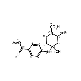 CCCCC1CC(C#N)(Nc2ccc(C(=O)OC)cc2)CCN1C(=O)O